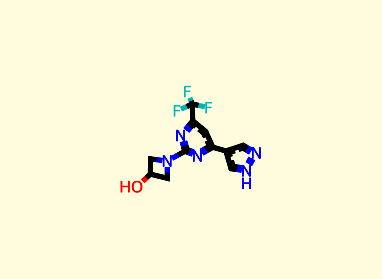 OC1CN(c2nc(-c3cn[nH]c3)cc(C(F)(F)F)n2)C1